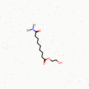 CCN(CC)C(=O)CCCCCCCC(=O)OCCO